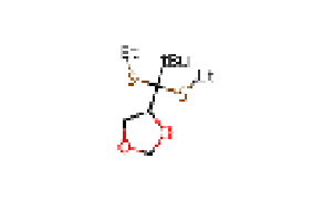 CCSC(SCC)(C1COCO1)C(C)(C)C